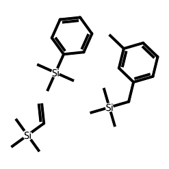 C=C[Si](C)(C)C.C[Si](C)(C)c1ccccc1.Cc1cccc(C[Si](C)(C)C)c1